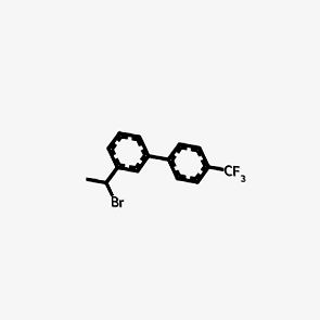 CC(Br)c1cccc(-c2ccc(C(F)(F)F)cc2)c1